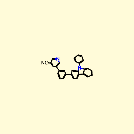 N#Cc1cncc(-c2cccc(-c3ccc4c5ccccc5n(-c5ccccc5)c4c3)c2)c1